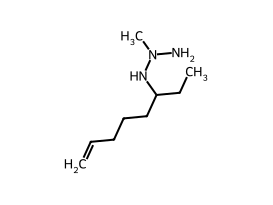 C=CCCCC(CC)NN(C)N